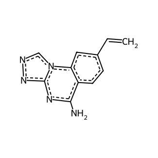 C=Cc1ccc2c(N)nc3nncn3c2c1